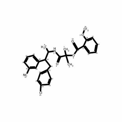 CC(NC(=O)C(C)(C)OC(=O)c1ccccc1OC(F)(F)F)C(Cc1ccc(Cl)cc1)c1cccc(C#N)c1